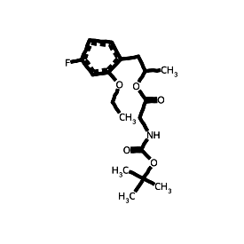 CCOc1cc(F)ccc1CC(C)OC(=O)CNC(=O)OC(C)(C)C